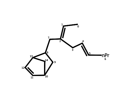 CC=C(CC=CCCC)CC1CC2C=CC1C2